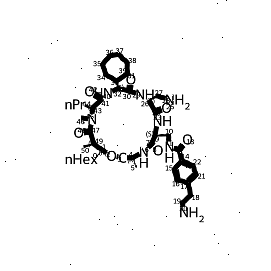 CCCCCC[C@H]1OC[C@@H](C)NC(=O)[C@H](CNC(=O)c2ccc(CCN)cc2)NC(=O)[C@H](CN)NC(=O)[C@H](C2CCCCCC2)NC(=O)[C@H](CCC)N(C)C(=O)[C@@H]1C